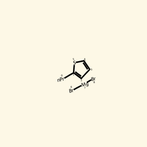 CCCc1cc[c]s1.[Br][Mg][Br]